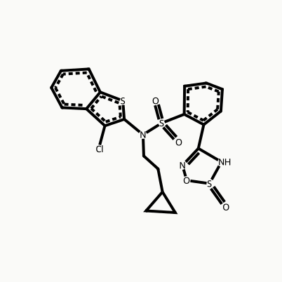 O=S1NC(c2ccccc2S(=O)(=O)N(CCC2CC2)c2sc3ccccc3c2Cl)=NO1